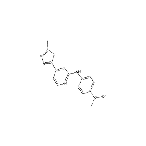 Cc1nnc(-c2ccnc(Nc3ccc([S+](C)[O-])cc3)c2)o1